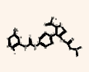 CN(C)CC(=O)Nc1c[nH]c(C(N)=O)c1-c1ccc(NC(=O)Nc2cc(C(F)(F)F)ccc2F)cc1